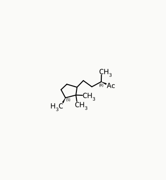 CC(=O)[C@H](C)CCC1CC[C@H](C)C1(C)C